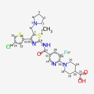 C[C@H]1CCCN1Cc1sc(NC(=O)c2cnc(N3CCC(C(=O)O)CC3)c(F)c2)nc1-c1cc(Cl)cs1